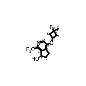 O[C@@H]1CCc2c(OC3CC(F)(F)C3)cnc(C(F)(F)F)c21